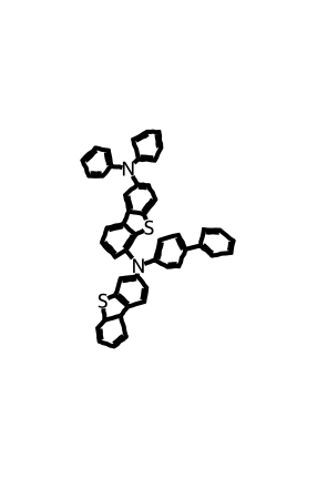 C1=CC2Sc3cc(N(c4ccc(-c5ccccc5)cc4)c4cccc5c4sc4ccc(N(c6ccccc6)c6ccccc6)cc45)ccc3C2C=C1